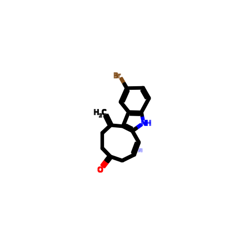 C=C1CCC(=O)C/C=C\c2[nH]c3ccc(Br)cc3c21